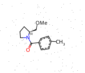 COC[C@@H]1CCCN1C(=O)c1ccc(C)cc1